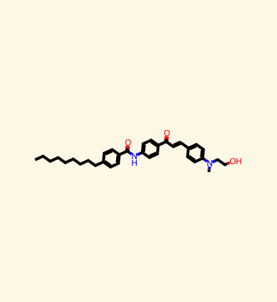 CCCCCCCCCc1ccc(C(=O)Nc2ccc(C(=O)/C=C/c3ccc(N(C)CCO)cc3)cc2)cc1